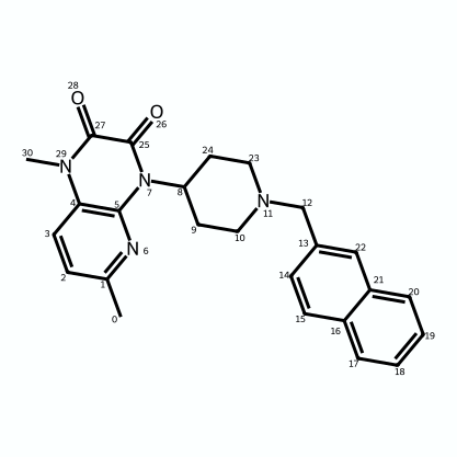 Cc1ccc2c(n1)n(C1CCN(Cc3ccc4ccccc4c3)CC1)c(=O)c(=O)n2C